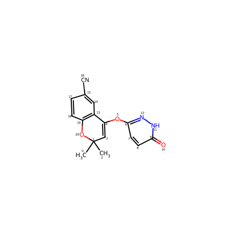 CC1(C)C=C(Oc2ccc(=O)[nH]n2)c2cc(C#N)ccc2O1